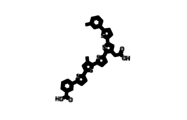 Cc1cccc(-c2ccc(-c3cc(CC(=O)O)c(-c4ccc(-c5sc(-c6ccc(-c7cccc(C(=O)O)c7)s6)cc5C)s4)s3)s2)c1